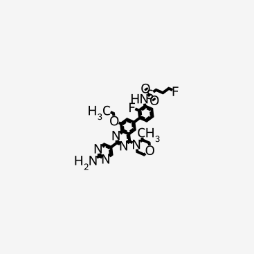 CCOc1cc(-c2cccc(NS(=O)(=O)CCCF)c2F)cc2c(N3CCOCC3C)nc(-c3cnc(N)nc3)nc12